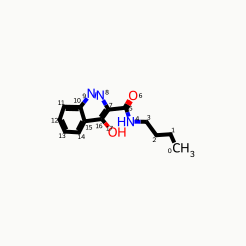 CCCCNC(=O)c1nnc2ccccc2c1O